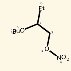 CCC(CO[N+](=O)[O-])OCC(C)C